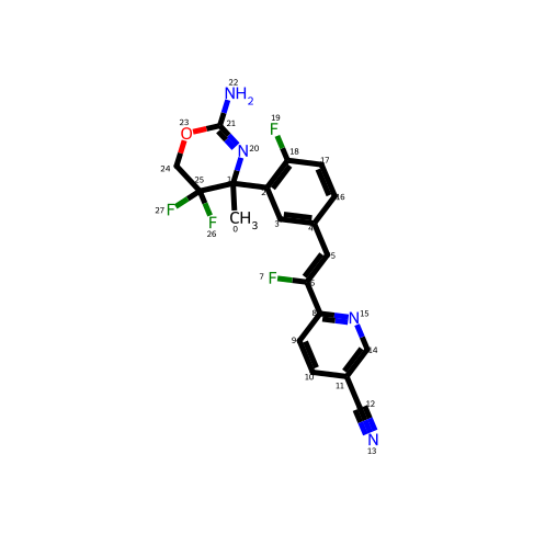 CC1(c2cc(C=C(F)c3ccc(C#N)cn3)ccc2F)N=C(N)OCC1(F)F